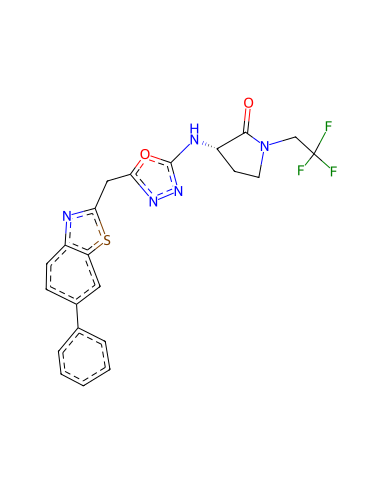 O=C1[C@@H](Nc2nnc(Cc3nc4ccc(-c5ccccc5)cc4s3)o2)CCN1CC(F)(F)F